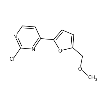 COCc1ccc(-c2ccnc(Cl)n2)o1